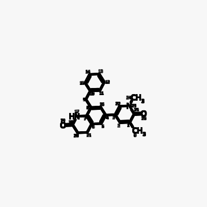 Cc1cc(-c2cc3c(c(Cc4ccccc4)c2)NC(=O)CC3)cn(C)c1=O